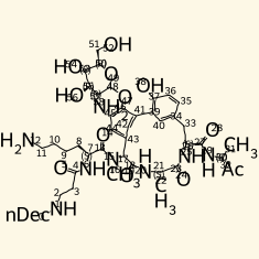 CCCCCCCCCCNCCC(=O)N[C@@H](CCCCN)C(=O)N(C)C1C(=O)N[C@@H](C)C(=O)N[C@H](C(=O)N[C@@H](C)C(C)=O)Cc2ccc(O)c(c2)-c2cc1ccc2OC1O[C@H](CO)[C@@H](O)[C@H](O)[C@H]1N